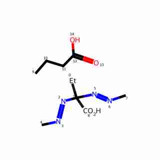 CCC(N=NC)(N=NC)C(=O)O.CCCC(=O)O